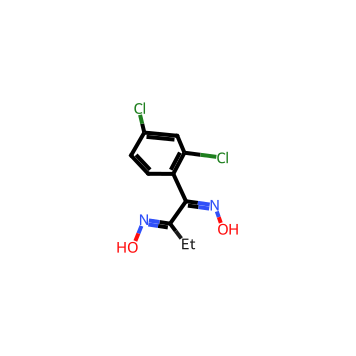 CCC(=NO)C(=NO)c1ccc(Cl)cc1Cl